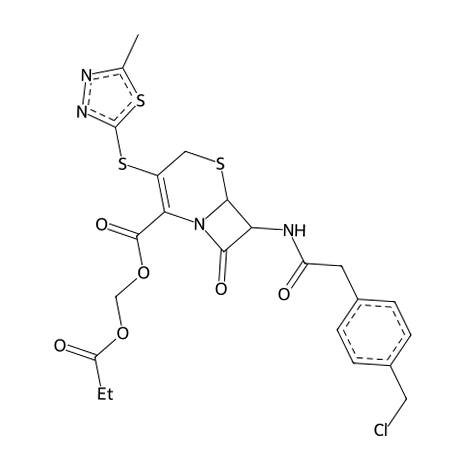 CCC(=O)OCOC(=O)C1=C(Sc2nnc(C)s2)CSC2C(NC(=O)Cc3ccc(CCl)cc3)C(=O)N12